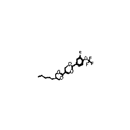 CCCCCC1COC(C2COC(c3ccc(OC(F)(F)F)c(F)c3)OC2)OC1